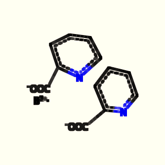 O=C([O-])c1ccccn1.O=C([O-])c1ccccn1.[B+2]